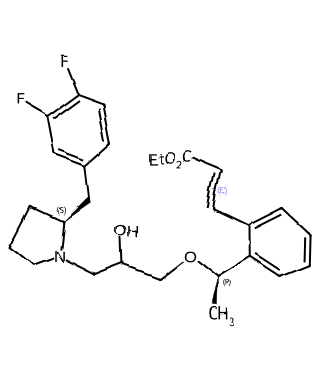 CCOC(=O)/C=C/c1ccccc1[C@@H](C)OCC(O)CN1CCC[C@H]1Cc1ccc(F)c(F)c1